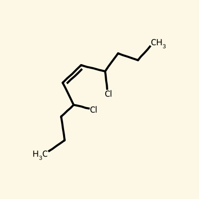 CCCC(Cl)/C=C\C(Cl)CCC